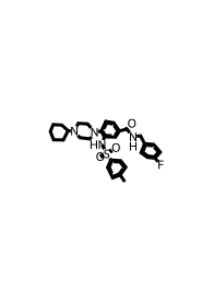 Cc1ccc(S(=O)(=O)Nc2cc(C(=O)NCc3ccc(F)cc3)ccc2N2CCN(C3CCCCC3)CC2)cc1